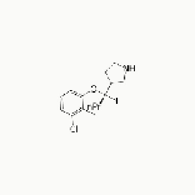 CCC[C@@](I)(Oc1cccc(Cl)c1C)C1CCNC1